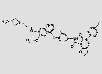 COc1cc2c(Oc3ccc(NC(=O)c4c5c(cn(-c6ccc(F)cc6)c4=O)CCO5)cc3F)ccnc2cc1OCCCN1CC(C)C1